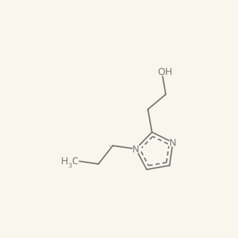 CC[CH]n1ccnc1CCO